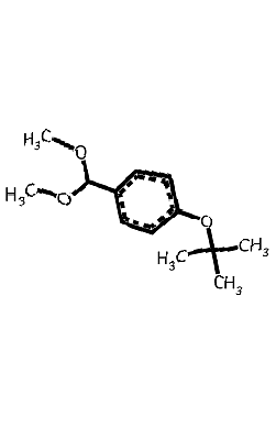 COC(OC)c1ccc(OC(C)(C)C)cc1